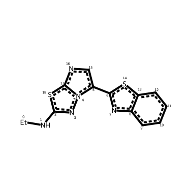 CCNc1nn2c(-c3nc4ccccc4s3)cnc2s1